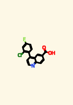 O=C(O)c1ccc2nccc(-c3ccc(F)cc3Cl)c2c1